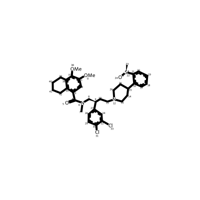 COc1cc(C(=O)N(C)C[C@@H](CCN2CCC(c3ccccc3[S@+](C)[O-])CC2)c2ccc(Cl)c(Cl)c2)c2c(c1OC)CCCC2